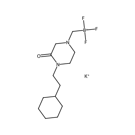 O=C1CN(C[B-](F)(F)F)CCN1CCC1CCCCC1.[K+]